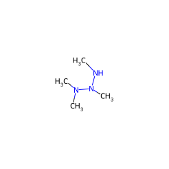 CNN(C)N(C)C